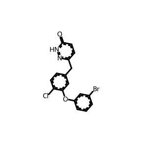 O=c1ccc(Cc2ccc(Cl)c(Oc3cccc(Br)c3)c2)n[nH]1